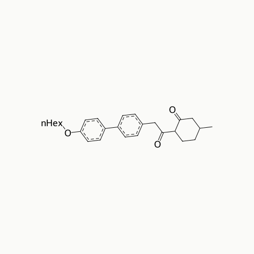 CCCCCCOc1ccc(-c2ccc(CC(=O)C3CCC(C)CC3=O)cc2)cc1